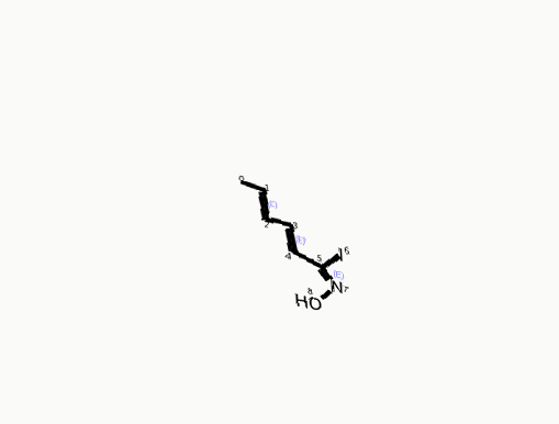 C/C=C/C=C/C(I)=N\O